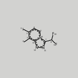 Cc1c(I)ccn2c(C(F)F)nnc12